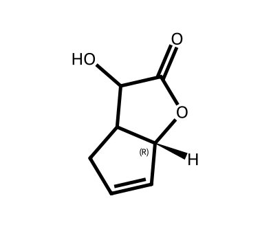 O=C1O[C@@H]2C=CCC2C1O